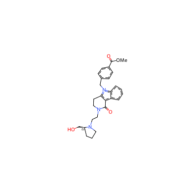 COC(=O)c1ccc(Cn2c3c(c4ccccc42)C(=O)N(CCN2CCC[C@H]2CO)CC3)cc1